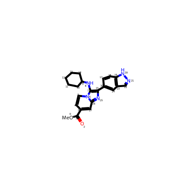 COC(=O)c1ccn2c(NC3CCCCC3)c(-c3ccc4[nH]ncc4c3)nc2c1